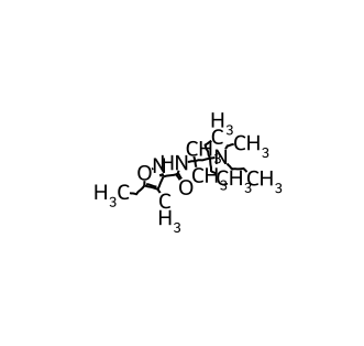 CCCN(CC)C(CC)(CC)C(C)(C)NC(=O)c1noc(CC)c1C